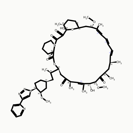 CO[C@H]1C[C@@H]2CC[C@@H](C)[C@@](O)(O2)C(=O)C(=O)N2CCCC[C@H]2C(=O)O[C@H]([C@H](C)C[C@@H]2CC[C@H](n3cc(-c4ccccn4)nn3)[C@H](OC)C2)CC(=O)[C@H](C)/C=C(\C)[C@@H](O)[C@@H](OC)C(=O)[C@H](C)C[C@H](C)/C=C/C=C/C=C/1C